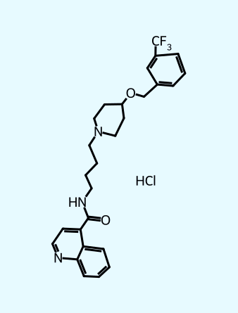 Cl.O=C(NCCCCN1CCC(OCc2cccc(C(F)(F)F)c2)CC1)c1ccnc2ccccc12